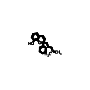 CN(C)CCCC1(C2=CCCC=C2)C=Cc2cccc(O)c2O1